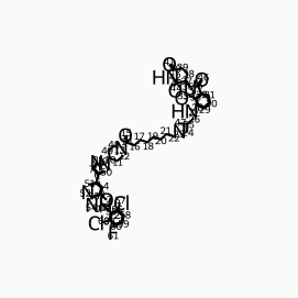 C[C@H](Oc1cc(-c2cnn(C3CCN(C(=O)CCCCCCCN4CC(CNc5cccc6c5C(=O)N(C5CCC(=O)NC5=O)C6=O)C4)CC3)c2)cnc1N)c1c(Cl)ccc(F)c1Cl